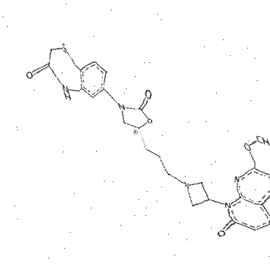 COc1ccc2ncc(=O)n(C3CN(CCC[C@@H]4CN(c5ccc6c(c5)NC(=O)CS6)C(=O)O4)C3)c2n1